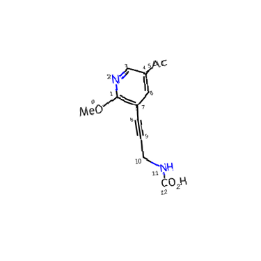 COc1ncc(C(C)=O)cc1C#CCNC(=O)O